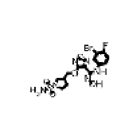 NS(=O)(=O)N1CCC(COc2nonc2/C(=N/O)Nc2ccc(F)c(Br)c2)C1